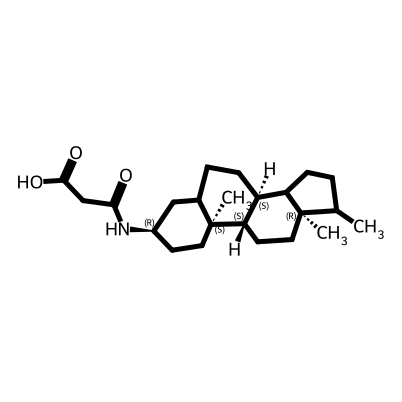 CC1CCC2[C@@H]3CCC4C[C@H](NC(=O)CC(=O)O)CC[C@]4(C)[C@H]3CC[C@]12C